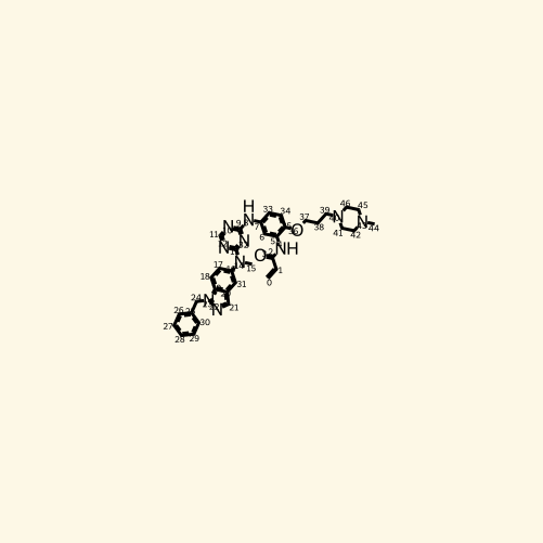 C=CC(=O)Nc1cc(Nc2ncnc(N(C)c3ccc4c(cnn4Cc4ccccc4)c3)n2)ccc1OCCCN1CCN(C)CC1